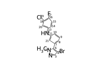 Cn1ncc(Br)c1-c1cccc(Nc2ccc(F)c(Cl)c2)c1